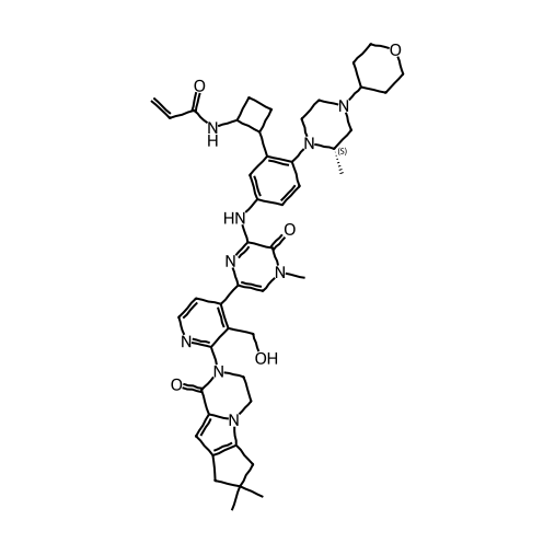 C=CC(=O)NC1CCC1c1cc(Nc2nc(-c3ccnc(N4CCn5c(cc6c5CC(C)(C)C6)C4=O)c3CO)cn(C)c2=O)ccc1N1CCN(C2CCOCC2)C[C@@H]1C